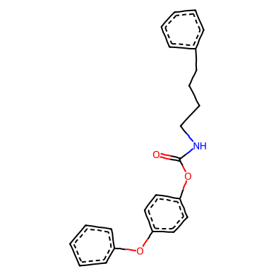 O=C(NCCCCc1ccccc1)Oc1ccc(Oc2ccccc2)cc1